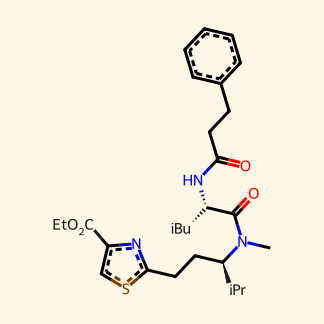 CCOC(=O)c1csc(CC[C@H](C(C)C)N(C)C(=O)[C@@H](NC(=O)CCc2ccccc2)[C@@H](C)CC)n1